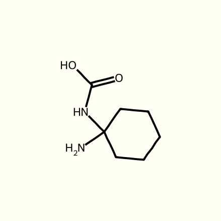 NC1(NC(=O)O)CCCCC1